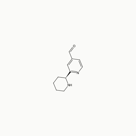 O=Cc1ccnc([C@@H]2CCCCN2)c1